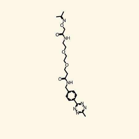 CC(C)=NOCC(=O)NCCOCCOCCC(=O)NCc1ccc(-c2nnc(C)nn2)cc1